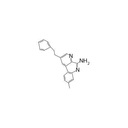 Cc1ccc2c(c1)nc(N)c1ncc(CCc3ccccc3)cc12